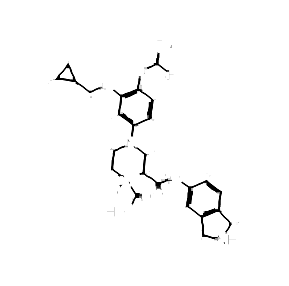 CC(=O)[N+]1([O-])CCN(c2ccc(OC(F)F)c(OCC3CC3)c2)CC1C(=O)Oc1ccc2c(c1)CNC2